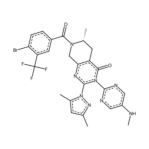 CNc1cnc(-n2c(-n3nc(C)cc3C)nc3c(c2=O)C[C@@H](C)N(C(=O)c2ccc(Br)c(C(F)(F)F)c2)C3)nc1